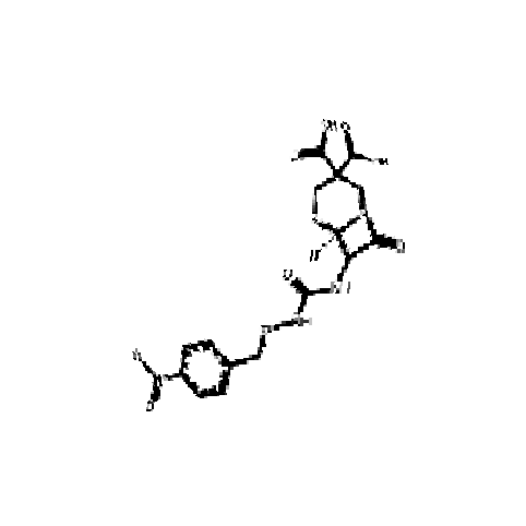 O=C(NOCc1ccc([N+](=O)[O-])cc1)NC1C(=O)N2CC(C(=O)O)(C(=O)O)CS[C@H]12